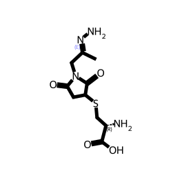 C/C(CN1C(=O)CC(SC[C@H](N)C(=O)O)C1=O)=N\N